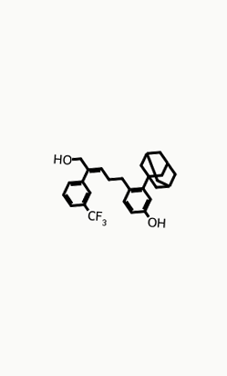 OCC(=CCCc1ccc(O)cc1C12CC3CC(CC(C3)C1)C2)c1cccc(C(F)(F)F)c1